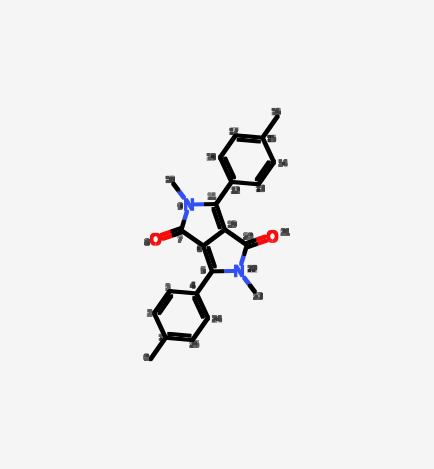 Cc1ccc(C2=C3C(=O)N(C)C(c4ccc(C)cc4)=C3C(=O)N2C)cc1